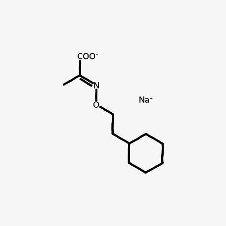 CC(=NOCCC1CCCCC1)C(=O)[O-].[Na+]